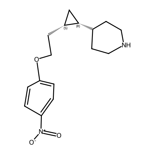 O=[N+]([O-])c1ccc(OCC[C@@H]2C[C@@H]2C2CCNCC2)cc1